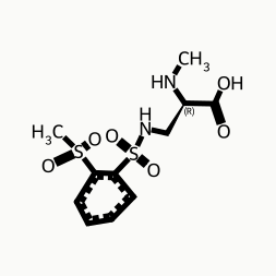 CN[C@H](CNS(=O)(=O)c1ccccc1S(C)(=O)=O)C(=O)O